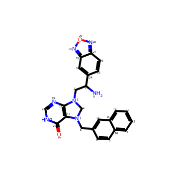 NC(CN1CN(Cc2ccc3ccccc3c2)c2c1nc[nH]c2=O)c1ccc2nonc2c1